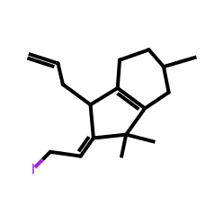 C=CCC1C2=C(CC(C)CC2)C(C)(C)/C1=C/CI